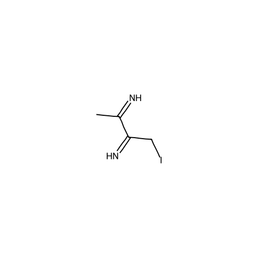 CC(=N)C(=N)CI